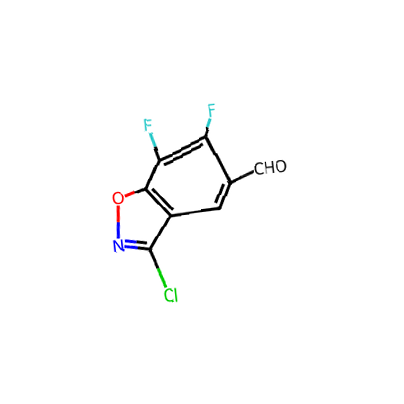 O=Cc1cc2c(Cl)noc2c(F)c1F